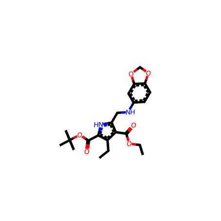 CCOC(=O)c1c(CNc2ccc3c(c2)OCO3)[nH]c(C(=O)OC(C)(C)C)c1CC